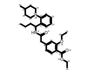 CCCC(NC(=O)Cc1ccc(C(=O)OCC)c(OCC)c1)c1ccccc1N1CCC(C)CC1